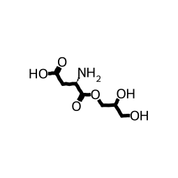 N[C@@H](CC(=O)O)C(=O)OCC(O)CO